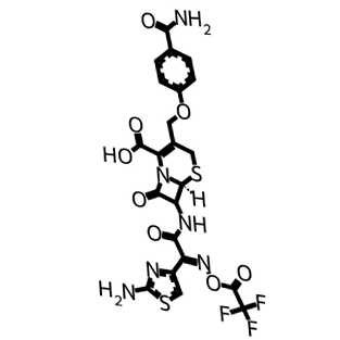 NC(=O)c1ccc(OCC2=C(C(=O)O)N3C(=O)C(NC(=O)C(=NOC(=O)C(F)(F)F)c4csc(N)n4)[C@@H]3SC2)cc1